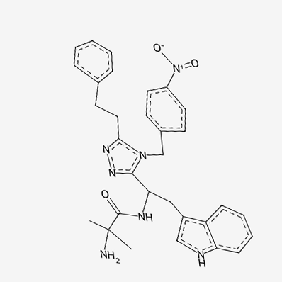 CC(C)(N)C(=O)NC(Cc1c[nH]c2ccccc12)c1nnc(CCc2ccccc2)n1Cc1ccc([N+](=O)[O-])cc1